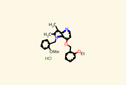 CCOc1ccccc1COc1ccnc2c(C)c(C)n(Cc3ccccc3OC)c12.Cl